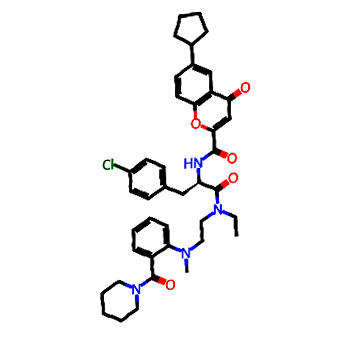 CCN(CCN(C)c1ccccc1C(=O)N1CCCCC1)C(=O)[C@@H](Cc1ccc(Cl)cc1)NC(=O)c1cc(=O)c2cc(C3CCCC3)ccc2o1